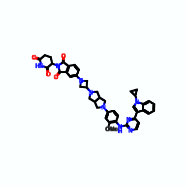 COc1cc(N2CC3CN(C4CN(c5ccc6c(c5)C(=O)N(C5CCC(=O)NC5=O)C6=O)C4)CC3C2)ccc1Nc1nccc(-c2cn(C3CC3)c3ccccc23)n1